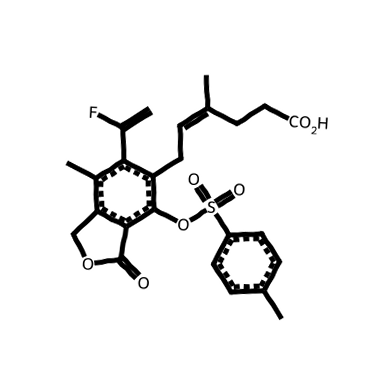 C=C(F)c1c(C)c2c(c(OS(=O)(=O)c3ccc(C)cc3)c1CC=C(C)CCC(=O)O)C(=O)OC2